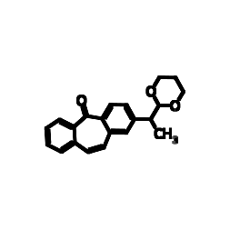 CC(c1ccc2c(=O)c3ccccc3ccc2c1)C1OCCCO1